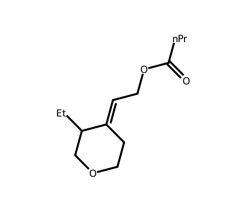 CCCC(=O)OCC=C1CCOCC1CC